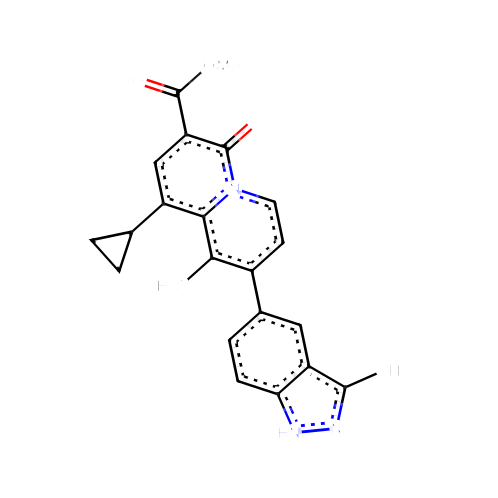 COC(=O)c1cc(C2CC2)c2c(C)c(-c3ccc4[nH]nc(C)c4c3)ccn2c1=O